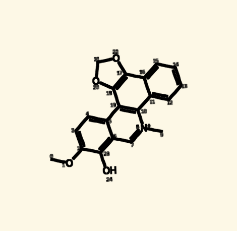 COc1ccc2c(c[n+](C)c3c4ccccc4c4c(c23)OCO4)c1O